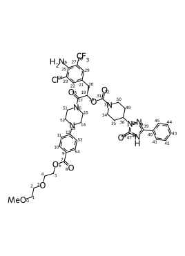 COCCOCCOC(=O)c1ccc(N2CCN(C(=O)[C@@H](Cc3cc(Cl)c(N)c(C(F)(F)F)c3)OC(=O)N3CCC(n4nc(-c5ccccc5)[nH]c4=O)CC3)CC2)cc1